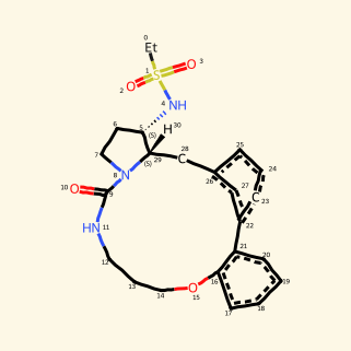 CCS(=O)(=O)N[C@H]1CCN2C(=O)NCCCOc3ccccc3-c3cccc(c3)C[C@@H]12